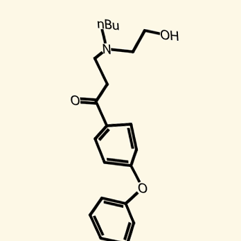 CCCCN(CCO)CCC(=O)c1ccc(Oc2ccccc2)cc1